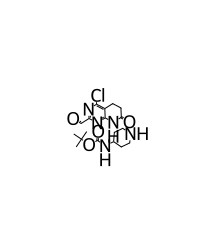 CC(C)(C)OC(=O)NC1CCNCC1.O=Cc1nc(Cl)c2c(n1)NC(=O)CC2